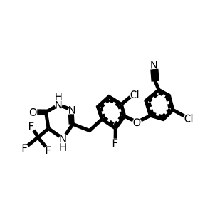 N#Cc1cc(Cl)cc(Oc2c(Cl)ccc(CC3=NNC(=O)C(C(F)(F)F)N3)c2F)c1